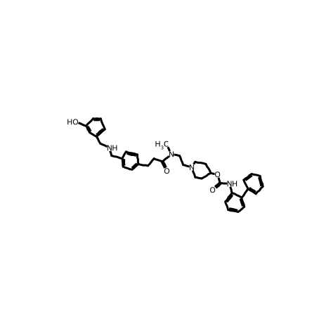 CN(CCN1CCC(OC(=O)Nc2ccccc2-c2ccccc2)CC1)C(=O)CCc1ccc(CNCc2cccc(O)c2)cc1